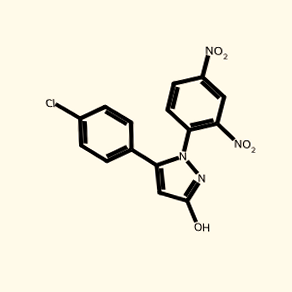 O=[N+]([O-])c1ccc(-n2nc(O)cc2-c2ccc(Cl)cc2)c([N+](=O)[O-])c1